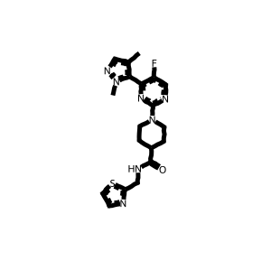 Cc1cnn(C)c1-c1nc(N2CCC(C(=O)NCc3nccs3)CC2)ncc1F